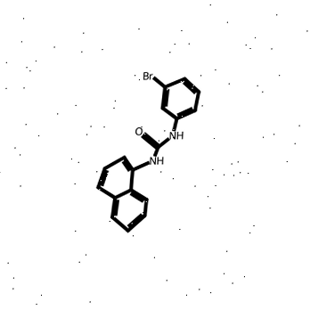 O=C(Nc1cccc(Br)c1)Nc1cccc2ccccc12